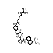 CN(C)c1cccc2c(S(=O)(=O)N3CCCC3C(=O)N[C@@H](Cc3ccc(NC(=O)CCCCNC(=N)N)cc3)C(=O)O)cccc12